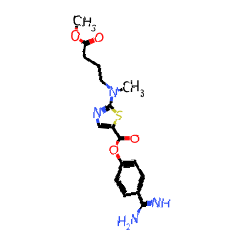 COC(=O)CCCN(C)c1ncc(C(=O)Oc2ccc(C(=N)N)cc2)s1